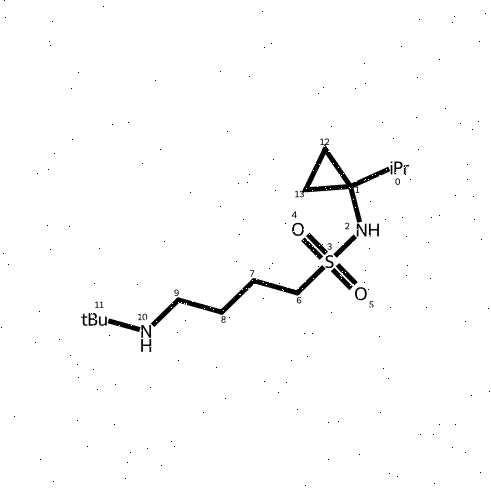 CC(C)C1(NS(=O)(=O)CCCCNC(C)(C)C)CC1